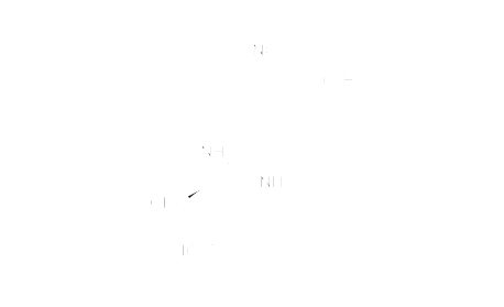 N[C@H](C=O)C(CC(=O)O)Nc1ccc([N+](=O)[O-])c(S(=O)(=O)O)c1